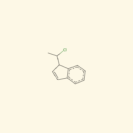 CC(Cl)[C]1C=Cc2ccccc21